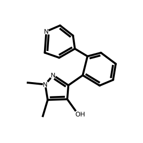 Cc1c(O)c(-c2ccccc2-c2ccncc2)nn1C